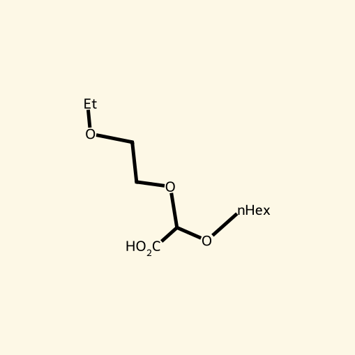 CCCCCCOC(OCCOCC)C(=O)O